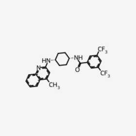 Cc1cc(N[C@H]2CC[C@@H](NC(=O)c3cc(C(F)(F)F)cc(C(F)(F)F)c3)CC2)nc2ccccc12